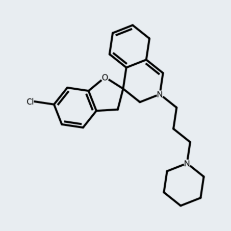 Clc1ccc2c(c1)OC1(C2)CN(CCCN2CCCCC2)C=C2CC=CC=C21